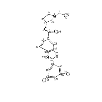 N#CCN1CCC(OC(=O)c2ccc3nc(-c4cc(Cl)cc(Cl)c4)oc3c2)C1